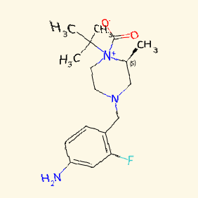 C[C@H]1CN(Cc2ccc(N)cc2F)CC[N+]1(C(=O)[O-])C(C)(C)C